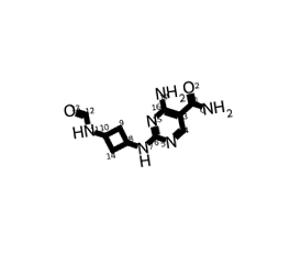 NC(=O)c1cnc(NC2CC(NC=O)C2)nc1N